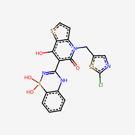 O=c1c(C2=NS(O)(O)c3ccccc3N2)c(O)c2sccc2n1Cc1cnc(Cl)s1